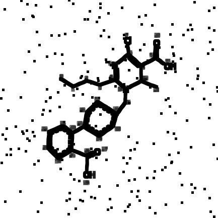 CCCCC1=NC(Cl)=C(C(=O)O)C(C)N1Cc1ccc(-c2ccccc2C(=O)O)cc1